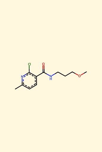 COCCCNC(=O)c1ccc(C)nc1Cl